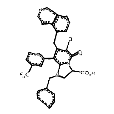 O=C(O)C1CN(Cc2ccccc2)c2c(-c3cccc(C(F)(F)F)c3)c(Cc3cccc4cnccc34)c(Cl)c(=O)n21